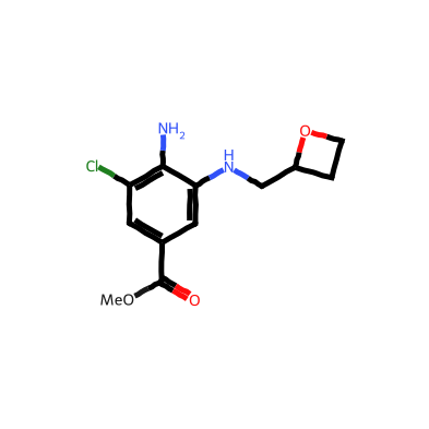 COC(=O)c1cc(Cl)c(N)c(NCC2CCO2)c1